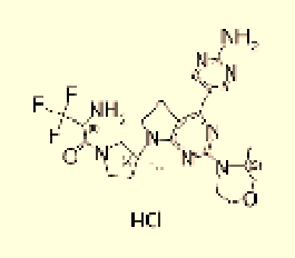 C[C@H]1COCCN1c1nc(-c2cnc(N)nc2)c2c(n1)N([C@@]1(C)CCN(C(=O)[C@@H](N)C(F)(F)F)C1)CC2.Cl